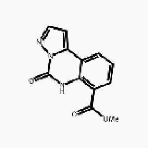 COC(=O)c1cccc2c1[nH]c(=O)n1nccc21